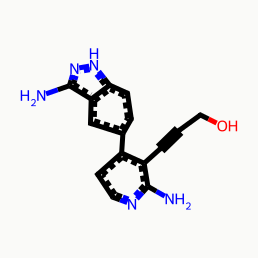 Nc1nccc(-c2ccc3[nH]nc(N)c3c2)c1C#CCO